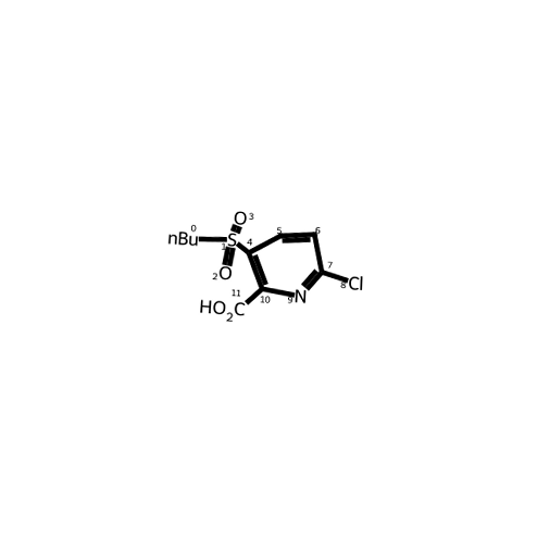 CCCCS(=O)(=O)c1ccc(Cl)nc1C(=O)O